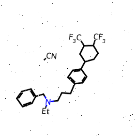 CC#N.CCN(CCCc1ccc(C2CCC(C(F)(F)F)C(C(F)(F)F)C2)cc1)Cc1ccccc1